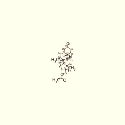 CC(=O)OCC1(F)CC2CC23[C@@H]2C(C)CC4=CC(=O)CC[C@@H]4[C@H]2CC[C@]13C